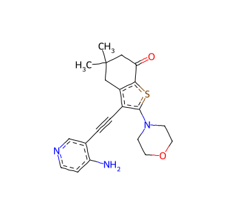 CC1(C)CC(=O)c2sc(N3CCOCC3)c(C#Cc3cnccc3N)c2C1